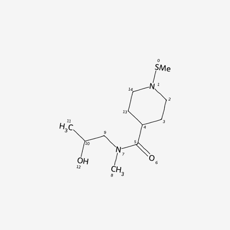 CSN1CCC(C(=O)N(C)CC(C)O)CC1